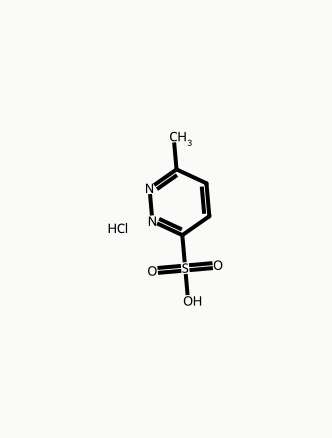 Cc1ccc(S(=O)(=O)O)nn1.Cl